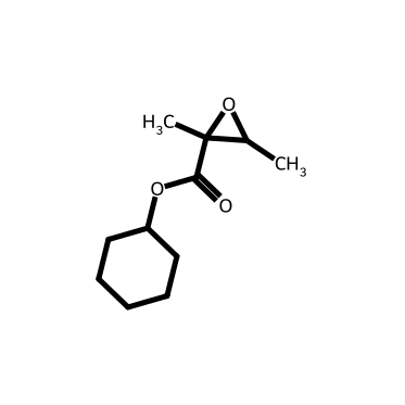 CC1OC1(C)C(=O)OC1CCCCC1